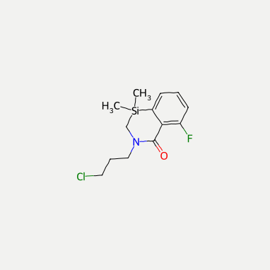 C[Si]1(C)CN(CCCCl)C(=O)c2c(F)cccc21